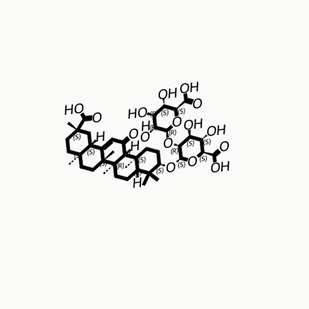 CC1(C)[C@@H](O[C@H]2O[C@H](C(=O)O)[C@@H](O)[C@H](O)[C@H]2O[C@@H]2O[C@H](C(=O)O)[C@@H](O)[C@H](O)[C@H]2O)CC[C@]2(C)[C@H]3C(=O)C=C4[C@H]5C[C@@](C)(C(=O)O)CC[C@]5(C)CC[C@@]4(C)[C@]3(C)CC[C@@H]12